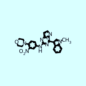 Cn1cc(-c2nc(Nc3ccc(N4CCOCC4)c([N+](=O)[O-])c3)nc3ccnn23)c2ccccc21